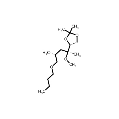 CCCCOC[C@H](C)C[C@](C)(OC)[C@H]1COC(C)(C)O1